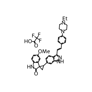 CCN1CCN(c2ccc(/C=C/c3n[nH]c4cc(C5CC56C(=O)Nc5ccc(OC)cc56)ccc34)cc2)CC1.O=C(O)C(F)(F)F